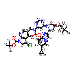 CC(C)(C)OC(=O)N(Cc1cnc2c(c1)c(Cl)cn2C(=O)OC(C)(C)C)c1cc(N2C[C@@H](O[Si](C)(C)C(C)(C)C)C[C@@H]2c2cn3cc(C4CC4)ccc3n2)ncn1